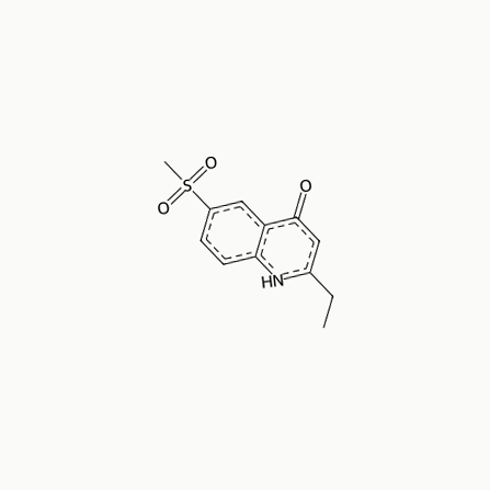 CCc1cc(=O)c2cc(S(C)(=O)=O)ccc2[nH]1